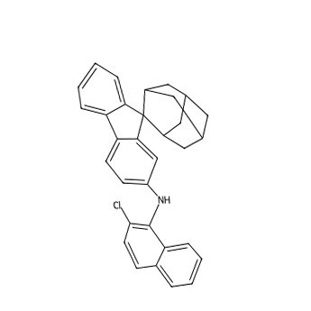 Clc1ccc2ccccc2c1Nc1ccc2c(c1)C1(c3ccccc3-2)C2CC3CC(C2)CC1C3